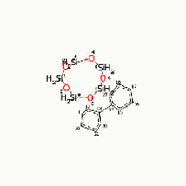 O1[SiH2]O[SiH2]O[SiH2]O[SiH2]O[SiH2]1.c1ccc(-c2ccccc2)cc1